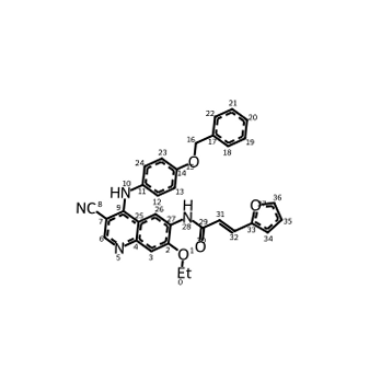 CCOc1cc2ncc(C#N)c(Nc3ccc(OCc4ccccc4)cc3)c2cc1NC(=O)C=Cc1ccco1